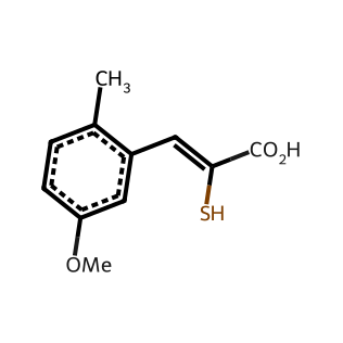 COc1ccc(C)c(/C=C(\S)C(=O)O)c1